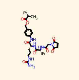 CC(C)C(C)C(=O)OCc1ccc(NC(=O)[C@@H](CCCNC(N)=O)NC(=O)[C@H](NC(=O)CN2C(=O)C=CC2=O)C(C)C)cc1